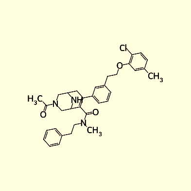 CC(=O)N1CC2CC(c3cccc(CCOc4cc(C)ccc4Cl)c3)=C(C(=O)N(C)CCc3ccccc3)C(C1)N2